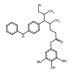 CC(C)CN(C)C(c1ccc(Nc2ccccc2)cc1)C(C)CCC(=O)Sc1cc(C(C)(C)C)c(O)c(C(C)(C)C)c1